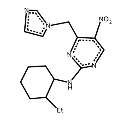 CCC1CCCCC1Nc1ncc([N+](=O)[O-])c(Cn2ccnc2)n1